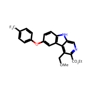 CCOC(=O)c1ncc2[nH]c3ccc(Oc4ccc(C(F)(F)F)cc4)cc3c2c1COC